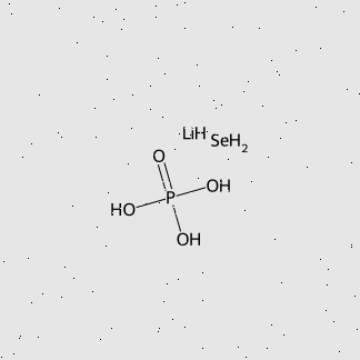 O=P(O)(O)O.[LiH].[SeH2]